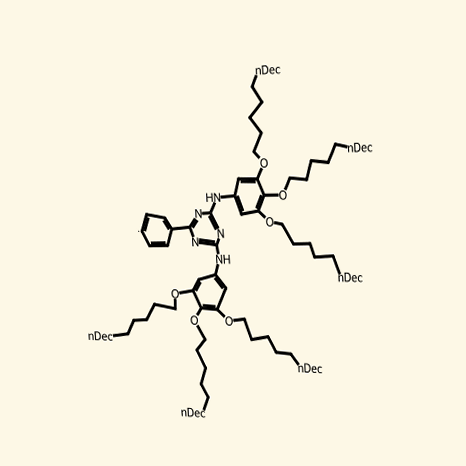 CCCCCCCCCCCCCCCOc1cc(Nc2nc(Nc3cc(OCCCCCCCCCCCCCCC)c(OCCCCCCCCCCCCCCC)c(OCCCCCCCCCCCCCCC)c3)nc(-c3cc[c]cc3)n2)cc(OCCCCCCCCCCCCCCC)c1OCCCCCCCCCCCCCCC